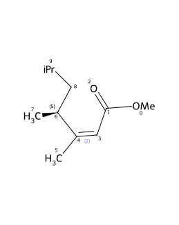 COC(=O)/C=C(/C)[C@@H](C)CC(C)C